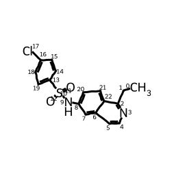 CCc1nccc2cc(NS(=O)(=O)c3ccc(Cl)cc3)ccc12